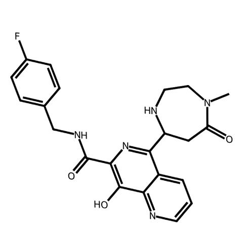 CN1CCNC(c2nc(C(=O)NCc3ccc(F)cc3)c(O)c3ncccc23)CC1=O